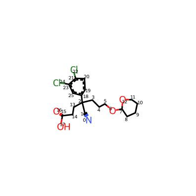 N#CC(CCCOC1CCCCO1)(CCC(=O)O)c1ccc(Cl)c(Cl)c1